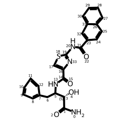 NC(=O)[C@@H](O)C(Cc1ccccc1)NC(=O)c1csc(NC(=O)c2ccc3ccccc3c2)n1